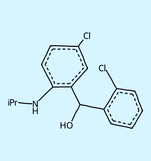 CC(C)Nc1ccc(Cl)cc1C(O)c1ccccc1Cl